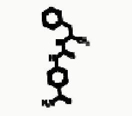 CC(Cc1ccccc1)NC(=S)Nc1ccc(C(N)=O)cc1